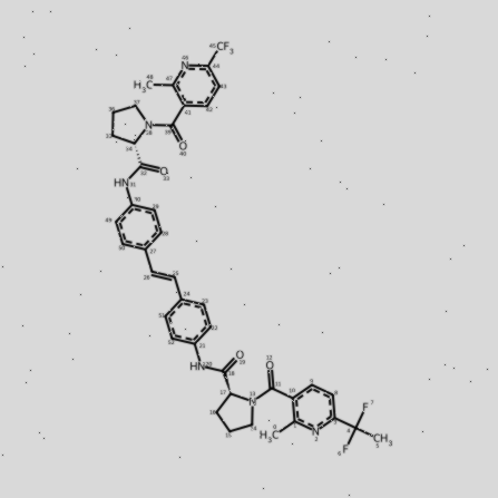 Cc1nc(C(C)(F)F)ccc1C(=O)N1CCC[C@H]1C(=O)Nc1ccc(/C=C/c2ccc(NC(=O)[C@@H]3CCCN3C(=O)c3ccc(C(F)(F)F)nc3C)cc2)cc1